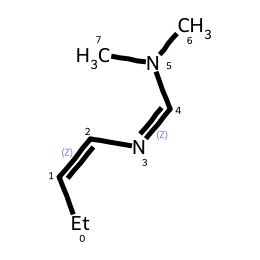 CC/C=C\N=C/N(C)C